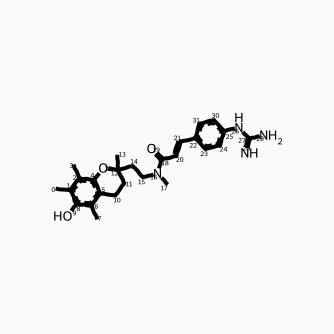 Cc1c(C)c2c(c(C)c1O)CCC(C)(CCN(C)C(=O)/C=C/c1ccc(NC(=N)N)cc1)O2